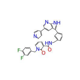 O=C(NCc1cccc(-c2c[nH]c3ncc(-c4ccncc4)cc23)c1)c1cccn(Cc2ccc(F)c(F)c2)c1=O